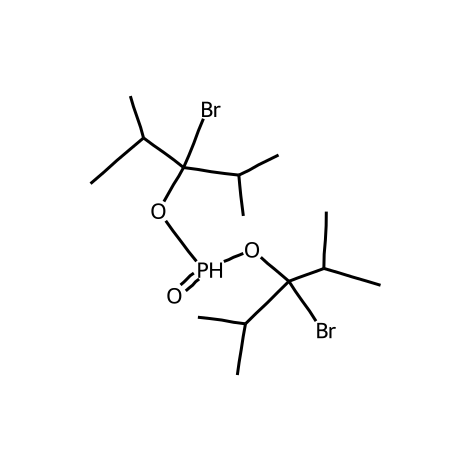 CC(C)C(Br)(O[PH](=O)OC(Br)(C(C)C)C(C)C)C(C)C